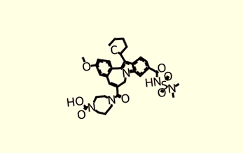 COc1ccc2c(c1)C=C(C(=O)N1CCCN(C(=O)O)CC1)Cn1c-2c(C2CCCCC2)c2ccc(C(=O)NS(=O)(=O)N(C)C)cc21